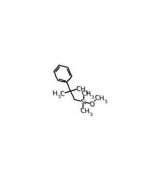 CO[Si](C)(C)CC(C)(C)c1ccccc1